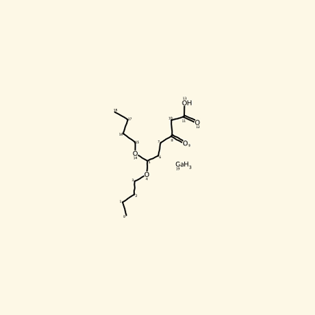 CCCCOC(CCC(=O)CC(=O)O)OCCCC.[GaH3]